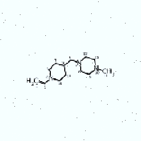 C=CN1CCC(CN2CCN(C)CC2)CC1